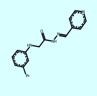 CC(C)c1cccc(NCC(=O)N/N=C/c2ccncc2)c1